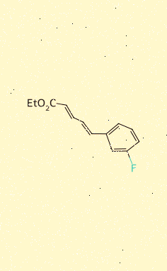 CCOC(=O)C=CC=Cc1cccc(F)c1